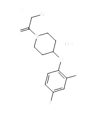 CC(C)[C@H](N)C(=O)N1CCC(Oc2ccc(F)cc2F)CC1.Cl